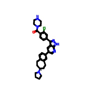 O=C(c1ccc(-c2n[nH]c3ncc(-c4ccc5c(c4)CC[C@@H](N4CCCC4)CC5)cc23)cc1Cl)N1CCNCC1